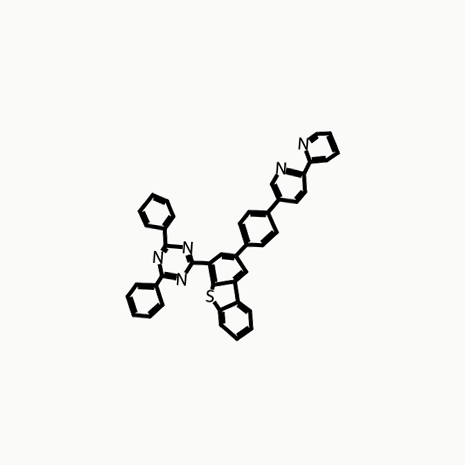 c1ccc(-c2nc(-c3ccccc3)nc(-c3cc(-c4ccc(-c5ccc(-c6ccccn6)nc5)cc4)cc4c3sc3ccccc34)n2)cc1